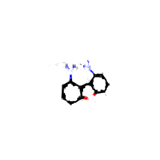 CCCCCCCCN(CCCCCCCC)c1cccc2oc3cccc(N(CCCCCCCC)CCCCCCCC)c3c12